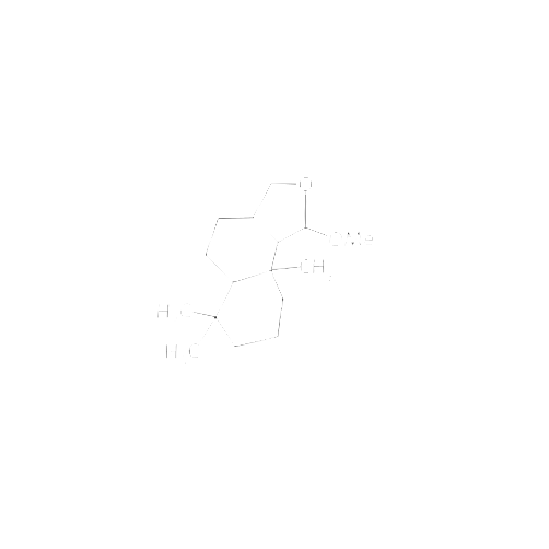 COC1OCC2CCC3C(C)(C)CCCC3(C)C21